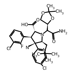 CC(C)(C)C[C@@H]1N(C(C(N)=O)[C@H]2COC(C)(C)O2)[C@@H](C(=O)O)[C@H](c2cccc(Cl)c2F)[C@@]1(C#N)c1ccc(Cl)cn1